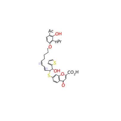 CCCc1c(OCCCC/C=C\C=C\C(Sc2ccc3c(=O)cc(C(=O)O)oc3c2)C(O)c2cccs2)ccc(C(C)=O)c1O